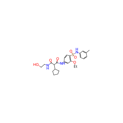 CCOc1cc(NC(=O)C(C(=O)NCCO)C2CCCC2)ccc1S(=O)(=O)Nc1cccc(C)c1